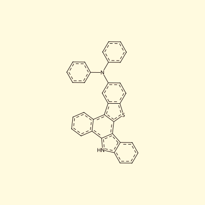 c1ccc(N(c2ccccc2)c2ccc3sc4c(c3c2)c2ccccc2c2[nH]c3ccccc3c24)cc1